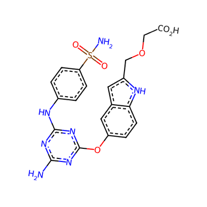 Nc1nc(Nc2ccc(S(N)(=O)=O)cc2)nc(Oc2ccc3[nH]c(COCC(=O)O)cc3c2)n1